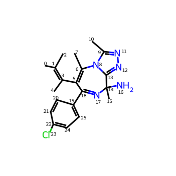 CC(C)=C(C)C1=C(C)n2c(C)nnc2C(C)(N)N=C1c1ccc(Cl)cc1